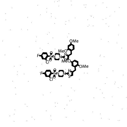 COc1ccc(Cc2csc(N3CCN(S(=O)(=O)c4ccc(F)cc4Cl)CC3)n2)c(OC)c1.COc1ccc(OC)c(Cc2csc(N3CCN(S(=O)(=O)c4ccc(F)cc4Cl)CC3)n2)c1